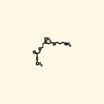 CC#CC(=O)COCCN(C)CCOCCCN